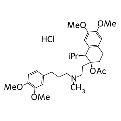 COc1ccc(CCCN(C)CC[C@@]2(OC(C)=O)CCc3cc(OC)c(OC)cc3[C@@H]2C(C)C)cc1OC.Cl